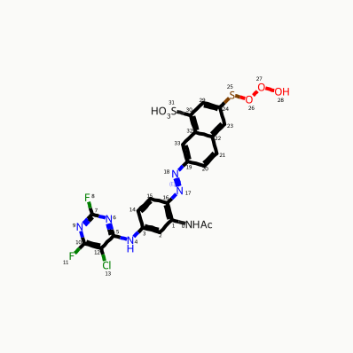 CC(=O)Nc1cc(Nc2nc(F)nc(F)c2Cl)ccc1/N=N/c1ccc2cc(SOOO)cc(S(=O)(=O)O)c2c1